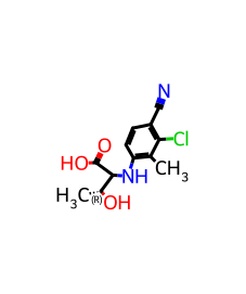 Cc1c(NC(C(=O)O)[C@@H](C)O)ccc(C#N)c1Cl